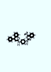 CN(C)c1nc(N[C@H]2CC[C@@H](NC(=O)CC(c3ccccc3)c3ccccc3)CC2)nc2ccccc12